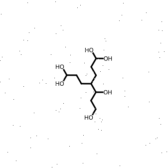 OCCC(O)C(CCC(O)O)CCC(O)O